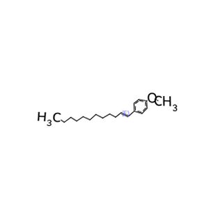 CCCCCCCCCC/C=C/c1ccc(OC)cc1